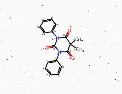 CC1(C)C(=O)N(c2ccccc2)C(=O)N(c2ccccc2)C1=O